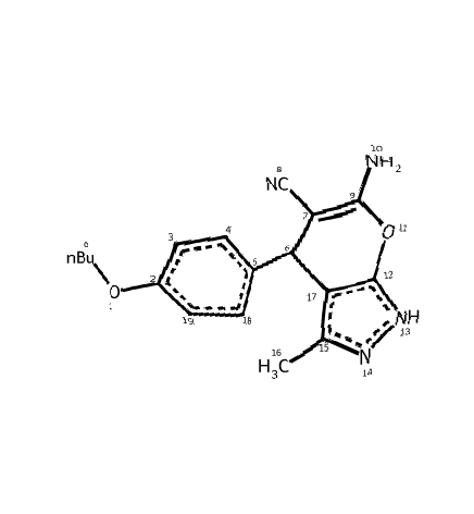 CCCCOc1ccc(C2C(C#N)=C(N)Oc3[nH]nc(C)c32)cc1